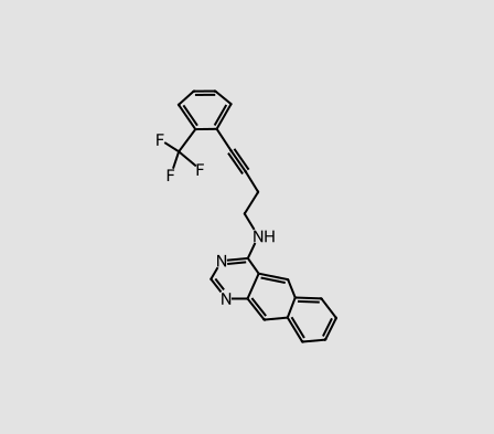 FC(F)(F)c1ccccc1C#CCCNc1ncnc2cc3ccccc3cc12